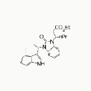 CCCC(CC(=O)OCC)n1c(=O)n(C(C)c2c[nH]c3cccc(C)c23)c2ccccc21